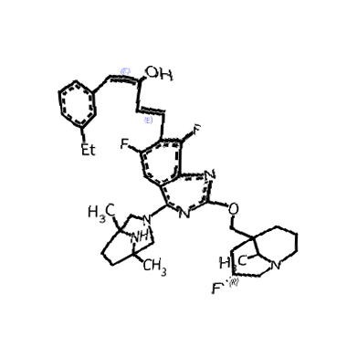 CCc1cccc(/C=C(O)\C=C\c2c(F)cc3c(N4CC5(C)CCC(C)(C4)N5)nc(OCC45CCCN(C[C@H](F)C4)C5C)nc3c2F)c1